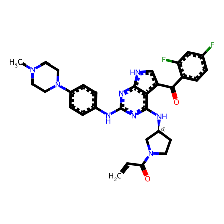 C=CC(=O)N1CC[C@H](Nc2nc(Nc3ccc(N4CCN(C)CC4)cc3)nc3[nH]cc(C(=O)c4ccc(F)cc4F)c23)C1